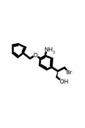 Nc1cc([C@H](CO)CBr)ccc1OCc1ccccc1